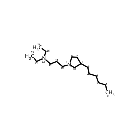 CCCCCCC1CCN(CCCN(CC)CC)C1